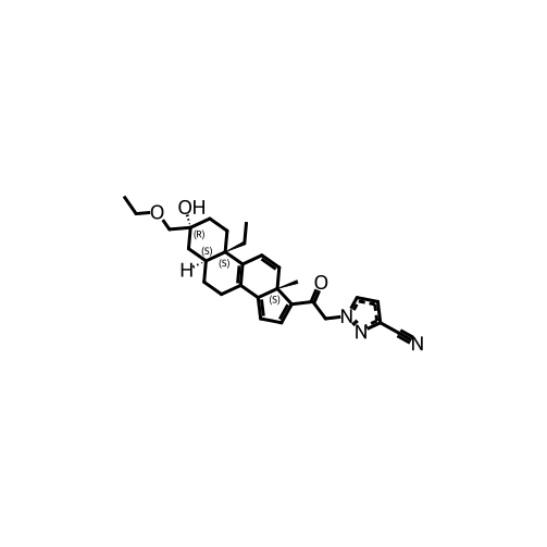 CCOC[C@@]1(O)CC[C@]2(CC)C3=C(CC[C@H]2C1)C1=CC=C(C(=O)Cn2ccc(C#N)n2)[C@@]1(C)C=C3